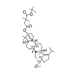 CC(C)C1=C2[C@H]3CC[C@@H]4[C@@]5(C)CC[C@H](OC(=O)CC(C)(C)C(=O)OC(C)(C)C)C(C)(C)[C@@H]5CC[C@@]4(C)[C@]3(C)CC[C@@]2([C@@H]2CO2)CC1